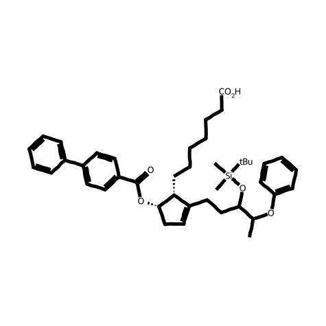 CC(Oc1ccccc1)C(CCC1=CC[C@H](OC(=O)c2ccc(-c3ccccc3)cc2)[C@@H]1CCCCCCC(=O)O)O[Si](C)(C)C(C)(C)C